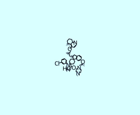 C[C@@H](COc1ccnc2c1[C@H](C)CCC2)C[C@H]1Cc2ccc(O[C@H](C)CN3CCN(C)CC3)cc2C12CCC(Nc1cccc(Cl)c1)(C(=O)O)CC2